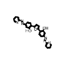 Oc1cc(N=Nc2ccccn2)ccc1-c1ccc(-c2ccc(N=Nc3ccccn3)cc2O)o1